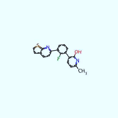 Cc1ccc(-c2cccc(-c3ccc4ccsc4n3)c2F)c(O)n1